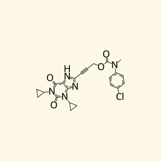 CN(C(=O)OCC#Cc1nc2c([nH]1)c(=O)n(C1CC1)c(=O)n2C1CC1)c1ccc(Cl)cc1